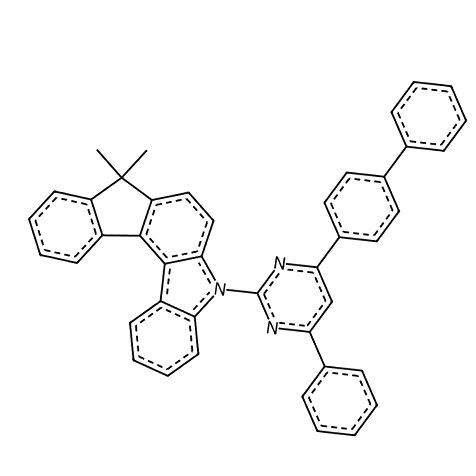 CC1(C)c2ccccc2-c2c1ccc1c2c2ccccc2n1-c1nc(-c2ccccc2)cc(-c2ccc(-c3ccccc3)cc2)n1